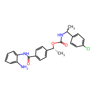 C[C@H](NC(=O)O[C@H](C)c1ccc(C(=O)Nc2ccccc2N)cc1)c1ccc(Cl)cc1